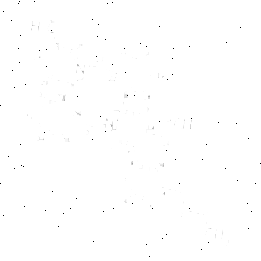 CCCCc1cccc(-c2c[n+]3c(cc2CC)-c2ccccc2C[n+]2cc(C)ccc2-c2ccccc2C3)c1